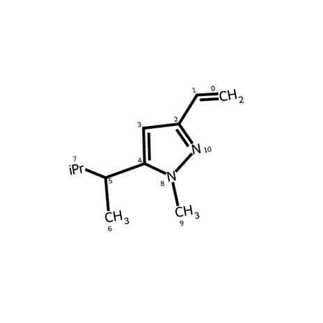 C=Cc1cc(C(C)C(C)C)n(C)n1